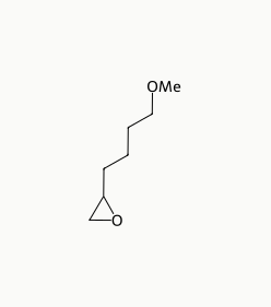 COCCCCC1CO1